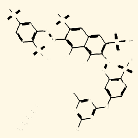 Nc1nc(Cl)nc(Nc2ccc(S(=O)(=O)O)c(N=Nc3c(S(=O)(=O)O)cc4cc(S(=O)(=O)O)c(N=Nc5cc(S(=O)(=O)O)ccc5S(=O)(=O)O)c(N)c4c3O)c2)n1.[Na+].[Na+].[Na+].[Na+].[Na+]